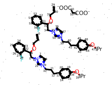 C=CCOC(C[n+]1ccn(CCCc2ccc(OC(C)C)cc2)c1)c1ccccc1F.C=CCOC(C[n+]1ccn(CCCc2ccc(OC(C)C)cc2)c1)c1ccccc1F.O=C([O-])CC(=O)[O-]